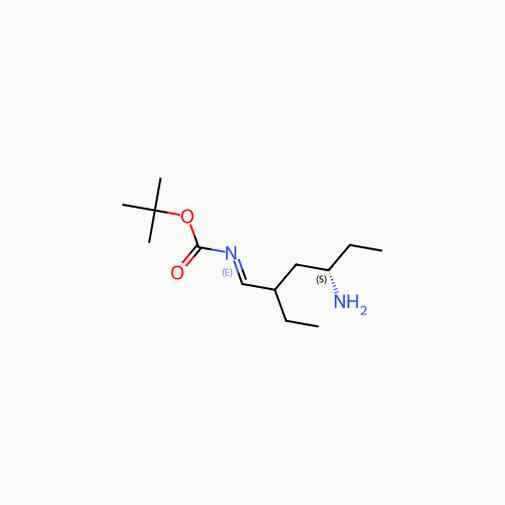 CCC(/C=N/C(=O)OC(C)(C)C)C[C@@H](N)CC